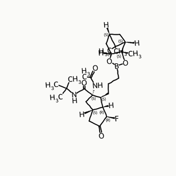 CC(=O)N[C@@]1(C(=O)NC(C)(C)C)C[C@H]2CC(=O)[C@H](F)[C@H]2[C@@H]1CCCB1O[C@@H]2C[C@@H]3C[C@@H](C3(C)C)[C@]2(C)O1